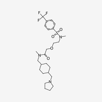 CN(CC1CCC(CN2CCCC2)CC1)C(=O)COCCN(C)S(=O)(=O)c1ccc(C(F)(F)F)cc1